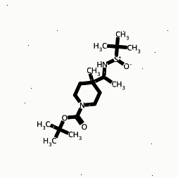 CC(N[S+]([O-])C(C)(C)C)C1(C)CCN(C(=O)OC(C)(C)C)CC1